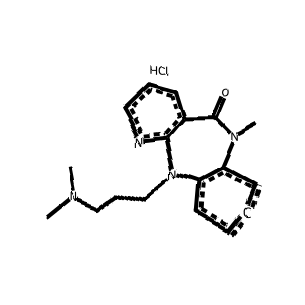 CN(C)CCCN1c2ccccc2N(C)C(=O)c2cccnc21.Cl